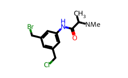 CNC(C)C(=O)Nc1cc(CCl)cc(CBr)c1